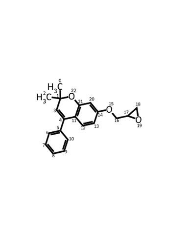 CC1(C)C=C(c2ccccc2)c2ccc(OCC3CO3)cc2O1